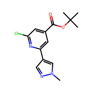 Cn1cc(-c2cc(C(=O)OC(C)(C)C)cc(Cl)n2)cn1